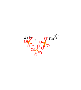 O=P([O-])([O-])[O-].O=P([O-])([O-])[O-].O=P([O-])([O-])[O-].[AsH6+3].[Ga+3].[In+3]